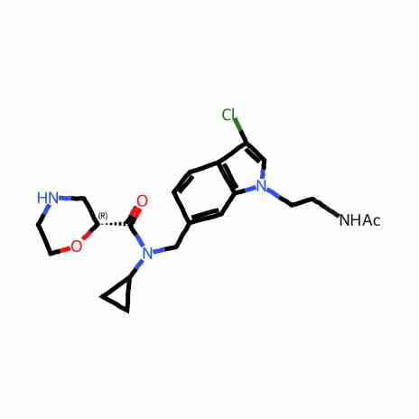 CC(=O)NCCn1cc(Cl)c2ccc(CN(C(=O)[C@H]3CNCCO3)C3CC3)cc21